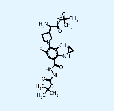 Cc1c(NC2CC2)c(C(=O)NNC(=O)OC(C)(C)C)cc(F)c1N1CCC(C(N)C(=O)OC(C)(C)C)C1